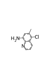 Cc1cc(N)c2ncccc2c1Cl